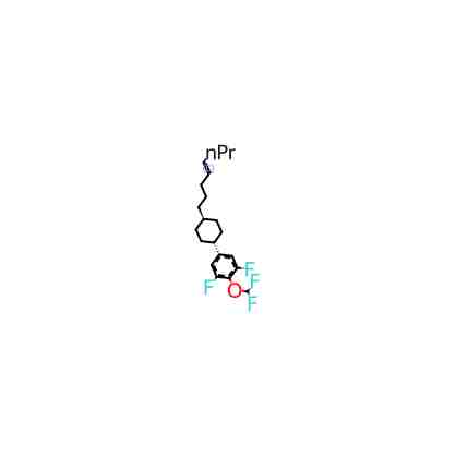 CCC/C=C/CCC[C@H]1CC[C@H](c2cc(F)c(OC(F)F)c(F)c2)CC1